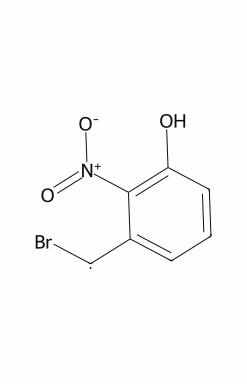 O=[N+]([O-])c1c(O)cccc1[CH]Br